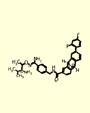 CC(C)[C@H](N)C(C)ON=C(N)c1ccc(CNC(=O)c2ccc3c(c2)[C@@H]2O[C@H]3c3ccc(-c4ccc(F)cc4F)cc32)cc1